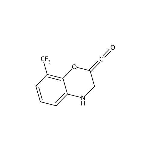 O=C=C1CNc2cccc(C(F)(F)F)c2O1